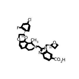 CC1c2c(ccc3c2O[C@@H](c2ccc(Cl)cc2F)CO3)CCN1Cc1nc2ccc(C(=O)O)cc2n1C[C@@H]1CCO1